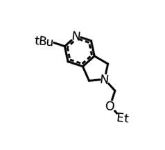 CCOCN1Cc2cnc(C(C)(C)C)cc2C1